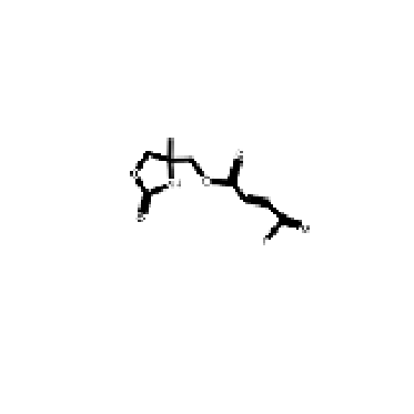 CC1(COC(=O)/C=C/C(=O)I)COC(=O)N1